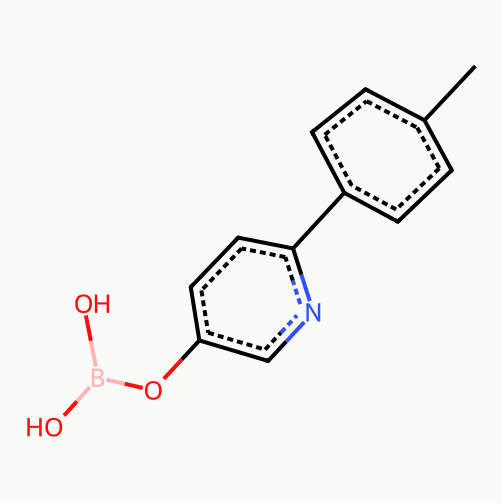 Cc1ccc(-c2ccc(OB(O)O)cn2)cc1